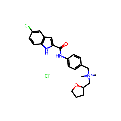 C[N+](C)(Cc1ccc(NC(=O)c2cc3cc(Cl)ccc3[nH]2)cc1)CC1CCCO1.[Cl-]